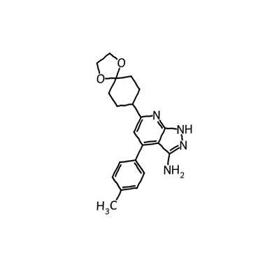 Cc1ccc(-c2cc(C3CCC4(CC3)OCCO4)nc3[nH]nc(N)c23)cc1